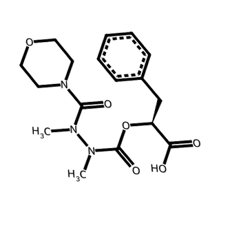 CN(C(=O)O[C@@H](Cc1ccccc1)C(=O)O)N(C)C(=O)N1CCOCC1